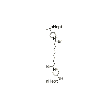 CCCCCCCNc1cc[n+](C(Br)CCCCCCCCC(Br)[n+]2ccc(NCCCCCCC)cc2)cc1